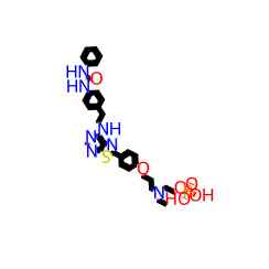 CCN(CCCOc1ccc(-c2nc3c(NCCc4ccc(NC(=O)Nc5ccccc5)cc4)ncnc3s2)cc1)CCOP(=O)(O)O